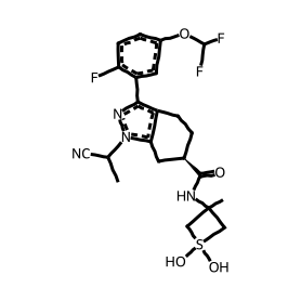 CC(C#N)n1nc(-c2cc(OC(F)F)ccc2F)c2c1C[C@H](C(=O)NC1(C)CS(O)(O)C1)CC2